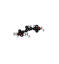 CC12CCCCC1(C)[Si](c1ccccc1)(c1ccccc1)c1ccc(-c3ccc4c(c3)Cc3c-4c4ccccc4c4cc(-c5ccc6c(c5)C5(C)CCCCC5(C)[Si]6(c5ccccc5)c5ccccc5)ccc34)cc12